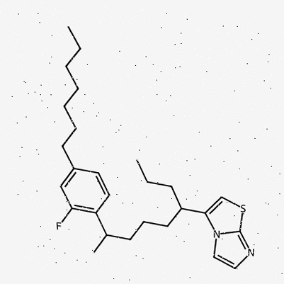 CCCCCCCc1ccc(C(C)CCCC(CCC)c2csc3nccn23)c(F)c1